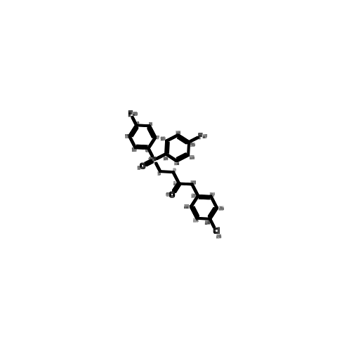 O=C(CCP(=O)(c1ccc(F)cc1)c1ccc(F)cc1)Cc1ccc(Cl)cc1